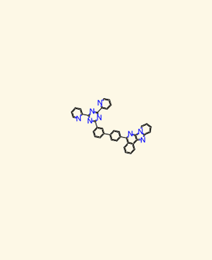 c1ccc(-c2nc(-c3cccc(-c4ccc(-c5nc6c(nc7ccccn76)c6ccccc56)cc4)c3)nc(-c3ccccn3)n2)nc1